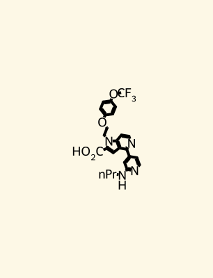 CCCNc1cc(-c2nccc3c2cc(C(=O)O)n3CCOc2ccc(OC(F)(F)F)cc2)ccn1